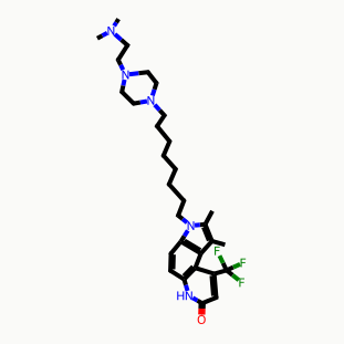 Cc1c(C)n(CCCCCCCCN2CCN(CCN(C)C)CC2)c2ccc3[nH]c(=O)cc(C(F)(F)F)c3c12